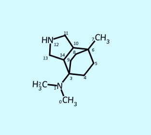 CN(C)C12CCC(C)(CC1)C1CNCC12